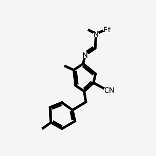 CCN(C)C=Nc1cc(C#N)c(Cc2ccc(C)cc2)cc1C